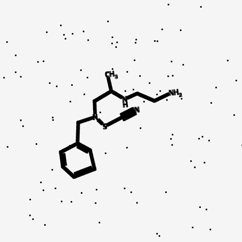 CC(CN(Cc1ccccc1)SC#N)NCCN